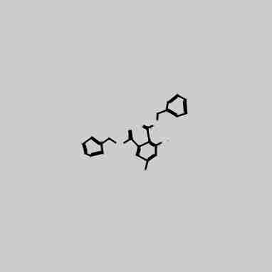 O=C(OCc1ccccc1)c1cc(O)cc(O)c1C(=O)OCc1ccccc1